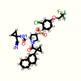 N#CC1(NC(=O)[C@@H]2C[C@@H](S(=O)(=O)c3ccc(OCC(F)(F)F)cc3Cl)CN2C(=O)C2(c3ccc4ccccc4c3)CC2)CC1